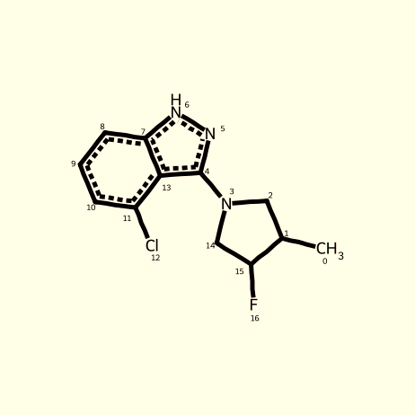 CC1CN(c2n[nH]c3cccc(Cl)c23)CC1F